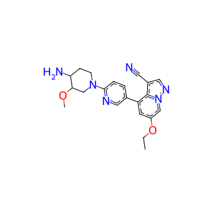 CCOc1cc(-c2ccc(N3CCC(N)C(OC)C3)nc2)c2c(C#N)cnn2c1